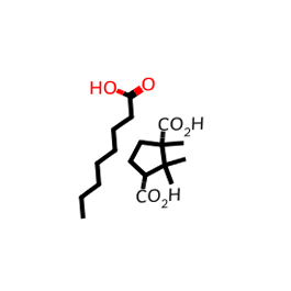 CC1(C(=O)O)CCC(C(=O)O)C1(C)C.CCCCCCCC(=O)O